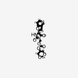 O=C(OCN1C(=O)N[C@@H](c2cc3cnccc3o2)C1=O)OC1COCOC1